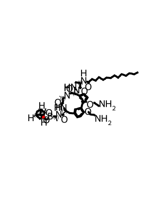 CCCCCCCCCCCCCC(=O)N[C@H]1CNN([C@@H]2C(=O)N[C@@H](C)C(=O)N[C@H](C(=O)N[C@@H](C)B3O[C@@H]4C[C@@H]5C[C@@H](C5(C)C)[C@]4(C)O3)Cc3ccc(OCCN)c(c3)-c3cc2ccc3OCCN)C1=O